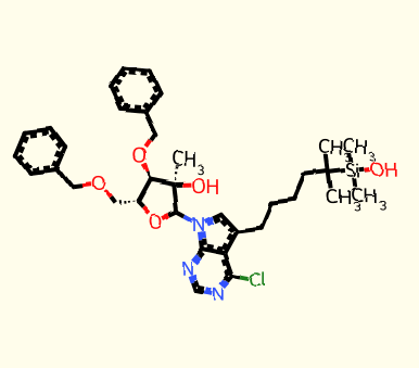 CC(C)(CCCCc1cn(C2O[C@H](COCc3ccccc3)[C@@H](OCc3ccccc3)[C@@]2(C)O)c2ncnc(Cl)c12)[Si](C)(C)O